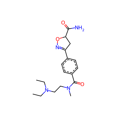 CCN(CC)CCN(C)C(=O)c1ccc(C2=NOC(C(N)=O)C2)cc1